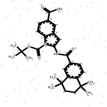 CC(C)(C)OC(=O)n1c(NC(=O)c2ccc3c(c2)C(C)(C)CCC3(C)C)cc2cc(C(=O)O)ccc21